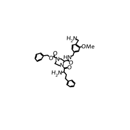 COc1cc(CNC(=O)C2CN(C(=O)OCc3ccccc3)CCN2C(=O)C(N)CCc2ccccc2)ccc1CN